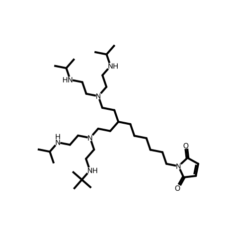 CC(C)NCCN(CCNC(C)C)CCC(CCCCCCN1C(=O)C=CC1=O)CCN(CCNC(C)C)CCNC(C)(C)C